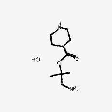 CC(C)(CN)OC(=O)C1CCNCC1.Cl